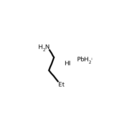 CCCCN.I.[PbH2]